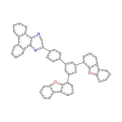 c1ccc2c(c1)oc1c(-c3cc(-c4ccc(-c5cnc6c7ccccc7c7ccccc7c6n5)cc4)cc(-c4cccc5c4oc4ccccc45)c3)cccc12